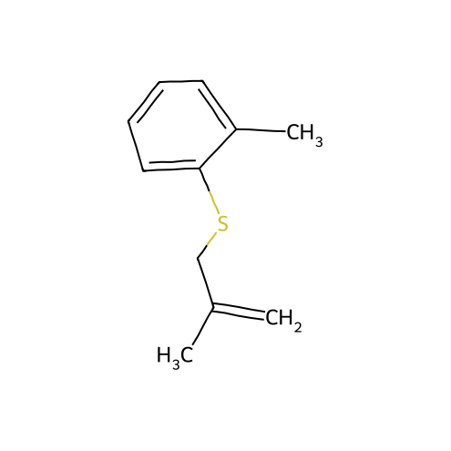 C=C(C)CSc1ccccc1C